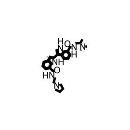 CC(CNC(=O)c1cccc2c(-c3[c]c4cccc(C(=O)NCCN5CCCC5)c4[nH]3)c[nH]c12)N(C)C